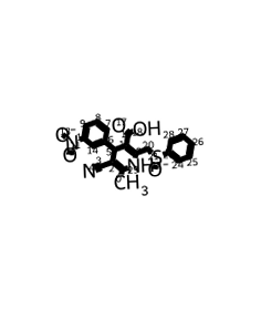 CC1=C(C#N)C(c2cccc([N+](=O)[O-])c2)C(C(=O)O)=C(C[S+]([O-])c2ccccc2)N1